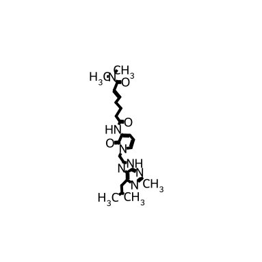 Cc1nc(CC(C)C)c2nc(Cn3cccc(NC(=O)CCC/C=C/C(=O)N(C)C)c3=O)[nH]c2n1